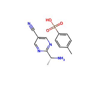 C[C@@H](N)c1ncc(C#N)cn1.Cc1ccc(S(=O)(=O)O)cc1